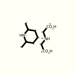 CC1CCCC(C)N1.O=C(O)CNCC(=O)O